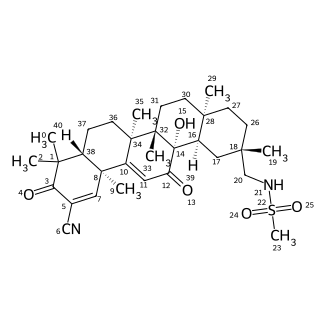 CC1(C)C(=O)C(C#N)=C[C@]2(C)C3=CC(=O)[C@]4(O)[C@@H]5C[C@@](C)(CNS(C)(=O)=O)CC[C@]5(C)CC[C@@]4(C)[C@]3(C)CC[C@@H]12